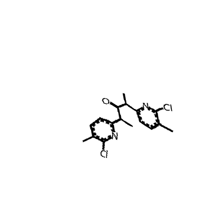 Cc1ccc(C(C)C(=O)C(C)c2ccc(C)c(Cl)n2)nc1Cl